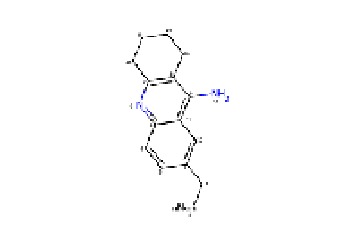 CCCCCCCCCCc1ccc2nc3c(c(N)c2c1)CCCC3